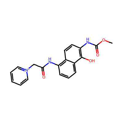 COC(=O)Nc1ccc2c(NC(=O)C[n+]3ccccc3)cccc2c1O